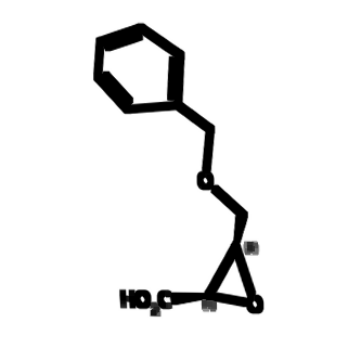 O=C(O)[C@@H]1O[C@@H]1COCc1ccccc1